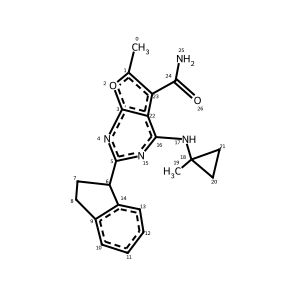 Cc1oc2nc(C3CCc4ccccc43)nc(NC3(C)CC3)c2c1C(N)=O